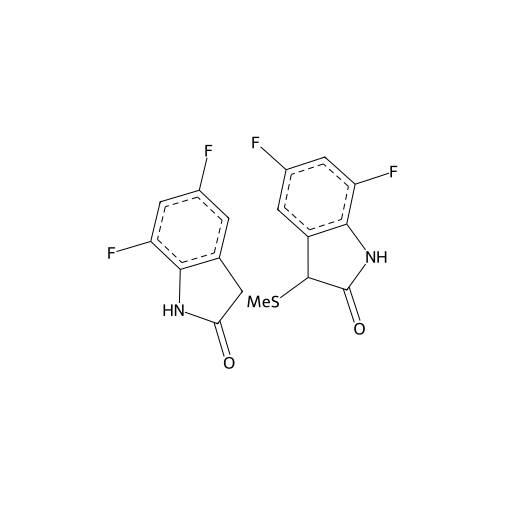 CSC1C(=O)Nc2c(F)cc(F)cc21.O=C1Cc2cc(F)cc(F)c2N1